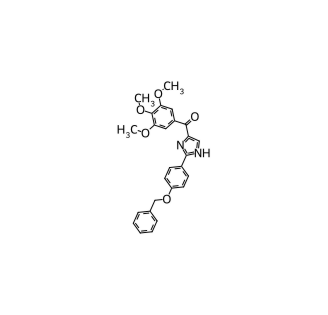 COc1cc(C(=O)c2c[nH]c(-c3ccc(OCc4ccccc4)cc3)n2)cc(OC)c1OC